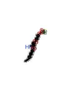 C=C(C(=O)OCCOC1CCC(C2CCC(C(=O)Oc3ccc4c(C=N)c(OC(=O)c5ccc(-c6ccc(C7CCC(CCCCC)CC7)cc6)cc5)ccc4c3)CC2)CC1)C(F)(F)F